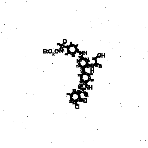 CCOC(=O)N=S(C)(=O)c1ccc(Nc2ncc(-c3ccc(NS(=O)(=O)c4cccc(Cl)c4Cl)cc3)c(N[C@H](C)CO)n2)cc1